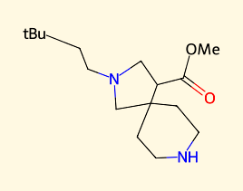 COC(=O)C1CN(CCC(C)(C)C)CC12CCNCC2